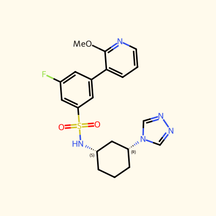 COc1ncccc1-c1cc(F)cc(S(=O)(=O)N[C@H]2CCC[C@@H](n3cnnc3)C2)c1